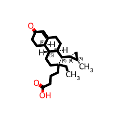 CCC1(CCCC(=O)O)CC[C@H]2[C@@H](CCC3=CC(=O)CC[C@@H]32)[C@@H]1[C@@H]1C[C@@H]1C